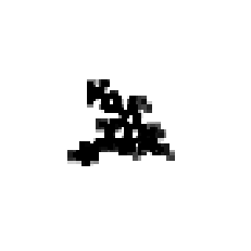 Cc1cc(SC(c2ccc(C(=O)NCc3nn[nH]n3)s2)C(C)(C)C)cc(C)c1-c1ccc(C(F)(F)F)cc1